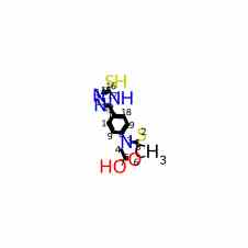 CC(=S)N(CC(=O)O)c1ccc(-c2nnc(S)[nH]2)cc1